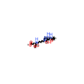 COC(=O)CC[C@@H](NCCCCCN1C=Nc2[nH]c(NC(=O)C(C)(C)C)cc2C1O)C(=O)OC